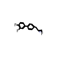 F/C=C/Cc1ccc(-c2ccc(F)c(F)c2)cc1